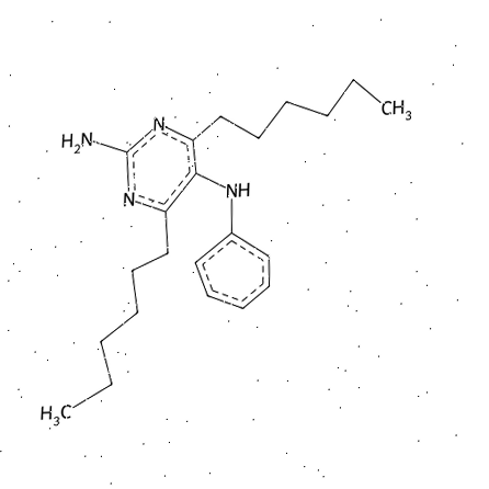 CCCCCCc1nc(N)nc(CCCCCC)c1Nc1ccccc1